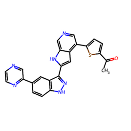 CC(=O)c1ccc(-c2cncc3[nH]c(-c4n[nH]c5ccc(-c6cnccn6)cc45)cc23)s1